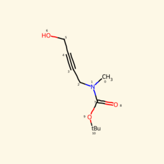 CN(CC#CCO)C(=O)OC(C)(C)C